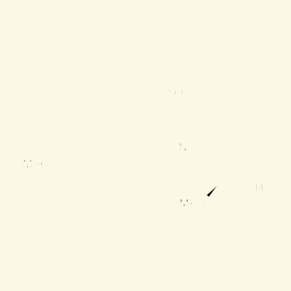 COc1ccc(CN2COCOC[C@@H]2[C@@H](C)OC)cc1